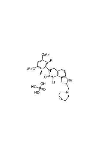 CCN1C(=O)N(c2c(F)c(OC)cc(OC)c2F)Cc2cnc3[nH]c(CN4CCOCC4)cc3c21.O=P(O)(O)O